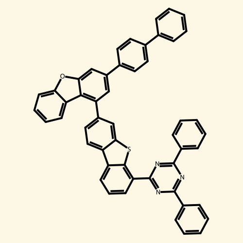 c1ccc(-c2ccc(-c3cc(-c4ccc5c(c4)sc4c(-c6nc(-c7ccccc7)nc(-c7ccccc7)n6)cccc45)c4c(c3)oc3ccccc34)cc2)cc1